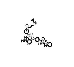 CN(C/C=C/C(=O)N1CCC[C@@H](Nc2n[nH]c3nccc(Oc4ccc(C(=O)Nc5nc6ccccc6s5)cc4)c23)C1)C1CC1